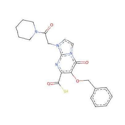 O=C(S)c1nc2n(CC(=O)N3CCCCC3)ccn2c(=O)c1OCc1ccccc1